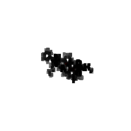 CCCCn1c(-c2ccccc2)nc(-c2ccccc2)c1CN(Cc1ccc(S(N)(=O)=O)cc1)Cc1ccc(OC)c(F)c1